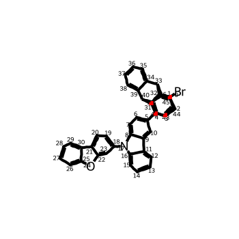 Brc1ccc(-c2ccc3c(c2)c2ccccc2n3-c2ccc3c(c2)oc2ccccc23)c2c1C1c3ccccc3C2c2ccccc21